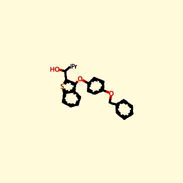 CC(C)C(O)c1sc2ccccc2c1Oc1ccc(OCc2ccccc2)cc1